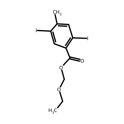 CCOCOC(=O)c1cc(I)c(C)cc1I